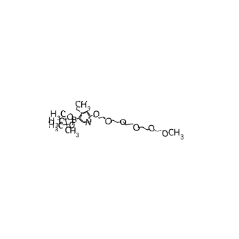 CCc1cc(OCCOCCOCCOCCOCCOC)ncc1B1OC(C)(C)C(C)(C)O1